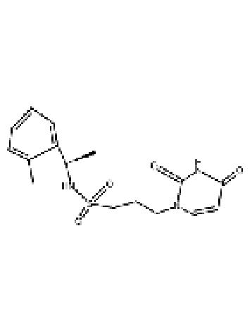 Cc1ccccc1[C@@H](C)NS(=O)(=O)CCCn1ccc(=O)[nH]c1=O